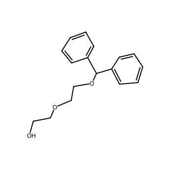 OCCOCCOC(c1ccccc1)c1ccccc1